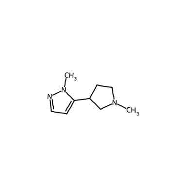 CN1CCC(c2ccnn2C)C1